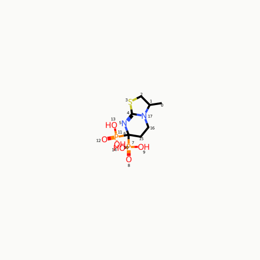 CC1CSC2=NC(P(=O)(O)O)(P(=O)(O)O)CCN21